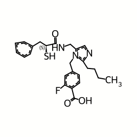 CCCCc1ncc(CNC(=O)[C@@H](S)Cc2ccccc2)n1Cc1ccc(C(=O)O)c(F)c1